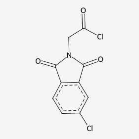 O=C(Cl)CN1C(=O)c2ccc(Cl)cc2C1=O